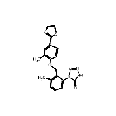 Cc1cc(C2=NCCS2)ccc1OCc1c(C)cccc1-n1nn[nH]c1=O